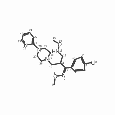 CON=C(c1ccc(Cl)cc1)C(CNOC)CN1CCN(c2ccccn2)CC1